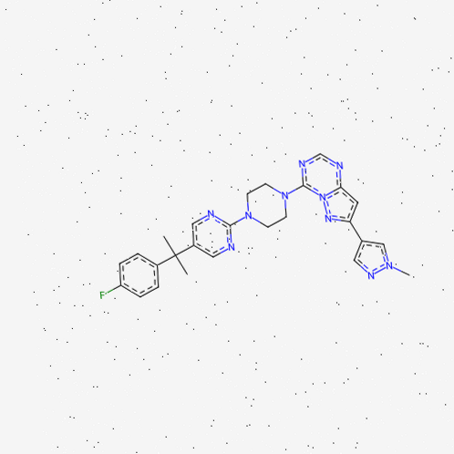 Cn1cc(-c2cc3ncnc(N4CCN(c5ncc(C(C)(C)c6ccc(F)cc6)cn5)CC4)n3n2)cn1